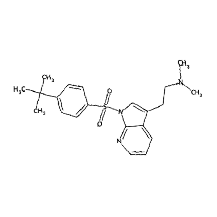 CN(C)CCc1cn(S(=O)(=O)c2ccc(C(C)(C)C)cc2)c2ncccc12